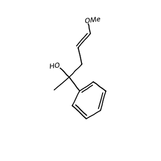 COC=CCC(C)(O)c1ccccc1